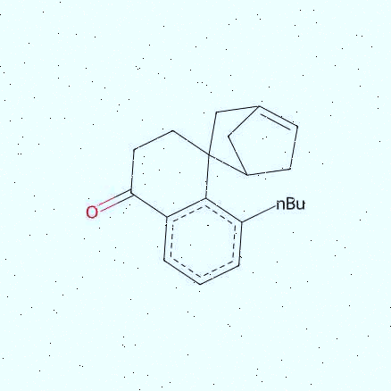 CCCCc1cccc2c1C1(CCC2=O)CC2=CCC1C2